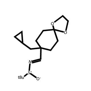 CC(C)(C)[S+]([O-])N=CC1(CC2CC2)CCC2(CC1)OCCO2